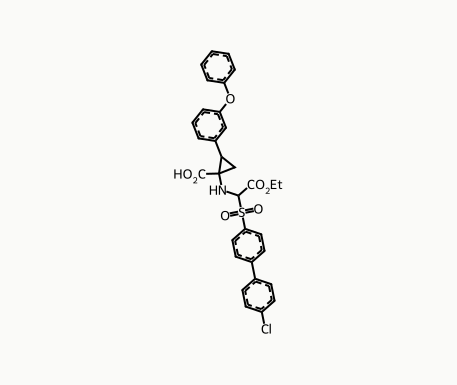 CCOC(=O)C(NC1(C(=O)O)CC1c1cccc(Oc2ccccc2)c1)S(=O)(=O)c1ccc(-c2ccc(Cl)cc2)cc1